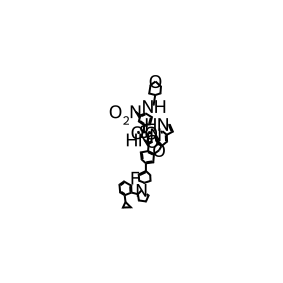 O=C(NS(=O)(=O)c1ccc(NCC2CCOCC2)c([N+](=O)[O-])c1)c1ccc(C2=CCC(N3CCCC3c3c(F)cccc3C3CC3)CC2)cc1Oc1cnc2[nH]ccc2c1